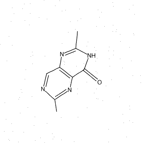 Cc1ncc2nc(C)[nH]c(=O)c2n1